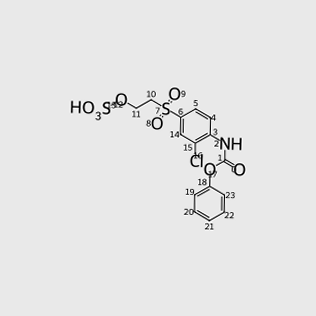 O=C(Nc1ccc(S(=O)(=O)CCOS(=O)(=O)O)cc1Cl)Oc1ccccc1